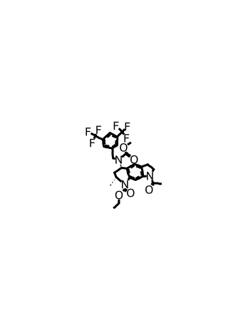 CCOC(=O)N1c2cc3c(cc2[C@@H](N(Cc2cc(C(F)(F)F)cc(C(F)(F)F)c2)C(=O)OC)C[C@H]1C)CCN3C(C)=O